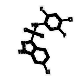 O=S(=O)(Nc1cc(F)c(Cl)cc1F)c1n[nH]c2cc(Cl)ccc12